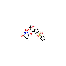 CN1N=C(OC2c3cc(S(=O)(=O)c4ccccc4)ccc3OC(C)(C)C2O)C2CC2C1=O